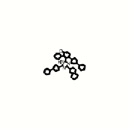 c1ccc(-c2ccc(C3=NC(c4ccc5ccccc5c4)=NC(c4c(-c5ccc(-c6ccccc6)cc5)ccc5oc6ccccc6c45)N3)cc2)cc1